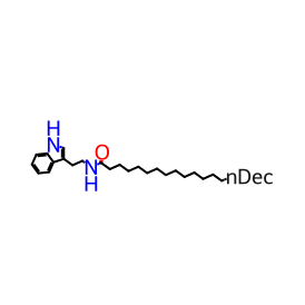 CCCCCCCCCCCCCCCCCCCCCCCC(=O)NCCc1c[nH]c2ccccc12